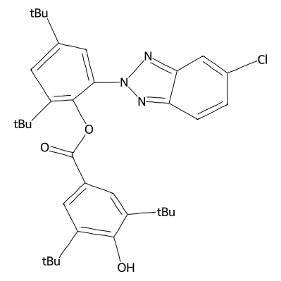 CC(C)(C)c1cc(-n2nc3ccc(Cl)cc3n2)c(OC(=O)c2cc(C(C)(C)C)c(O)c(C(C)(C)C)c2)c(C(C)(C)C)c1